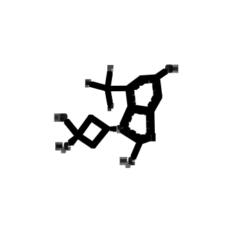 Cc1nc2cc(O)cc(C(F)(F)F)c2n1[C@H]1C[C@@](C)(O)C1